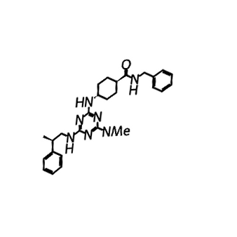 CNc1nc(NC[C@H](C)c2ccccc2)nc(N[C@H]2CC[C@H](C(=O)NCc3ccccc3)CC2)n1